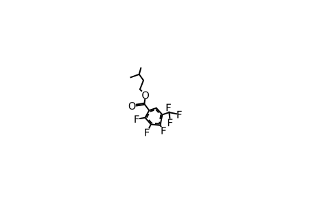 CC(C)CCOC(=O)c1cc(C(F)(F)F)c(F)c(F)c1F